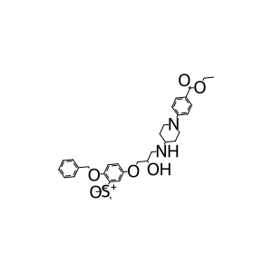 CCOC(=O)c1ccc(N2CCC(NCC(O)COc3ccc(OCc4ccccc4)c([S+](C)[O-])c3)CC2)cc1